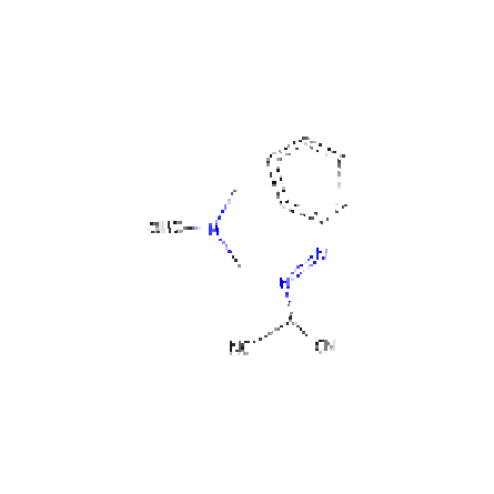 CN(C)C=O.N#CC(C#N)N=Nc1ccccc1